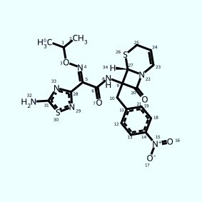 CC(C)ON=C(C(=O)NC1(Cc2ccc([N+](=O)[O-])cc2)C(=O)N2C=CCS[C@H]21)c1nsc(N)n1